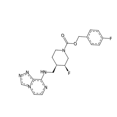 O=C(OCc1ccc(F)cc1)N1CC[C@H](CNc2nccn3cnnc23)[C@H](F)C1